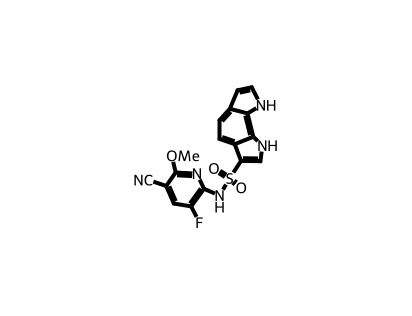 COc1nc(NS(=O)(=O)c2c[nH]c3c2ccc2cc[nH]c23)c(F)cc1C#N